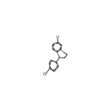 Clc1ccc([C]2CCc3cc(Cl)ccc32)cc1